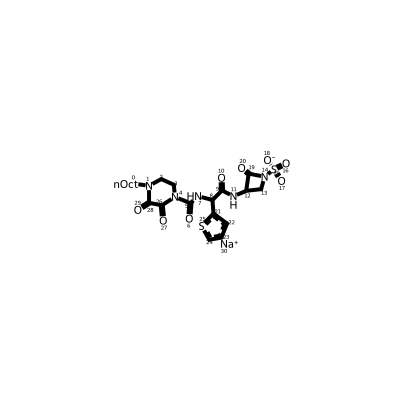 CCCCCCCCN1CCN(C(=O)NC(C(=O)NC2CN(S(=O)(=O)[O-])C2=O)c2cccs2)C(=O)C1=O.[Na+]